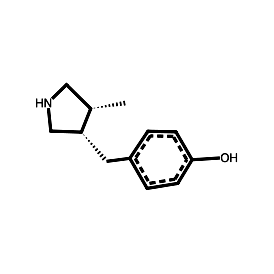 C[C@H]1CNC[C@H]1Cc1ccc(O)cc1